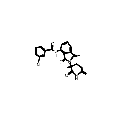 C=C1CCC(C)(N2C(=O)c3cccc(NC(=O)c4cccc(Cl)c4)c3C2=O)C(=O)N1